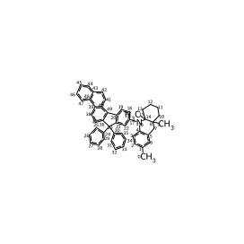 Cc1ccc2c(c1)CC1(C)CCCCC1(C)N2c1ccc2c(c1)C(c1ccccc1)(c1ccccc1)c1ccc3c(ccc4ccccc43)c1-2